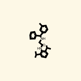 Cc1cccc(C(NCC(=O)Nc2c(C(C)C)cccc2C(C)C)c2ccccc2)c1